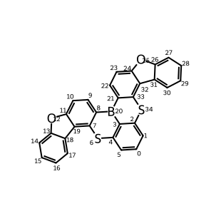 c1cc2c3c(c1)Sc1c(ccc4oc5ccccc5c14)B3c1ccc3oc4ccccc4c3c1S2